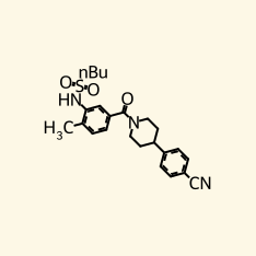 CCCCS(=O)(=O)Nc1cc(C(=O)N2CCC(c3ccc(C#N)cc3)CC2)ccc1C